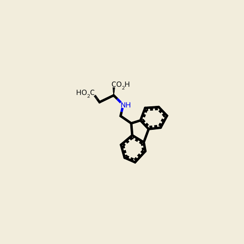 O=C(O)C[C@H](NCC1c2ccccc2-c2ccccc21)C(=O)O